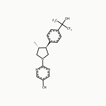 C[C@H]1CN(c2ncc(C#N)cn2)C[C@@H]1c1ccc(C(O)(C(F)(F)F)C(F)(F)F)cc1